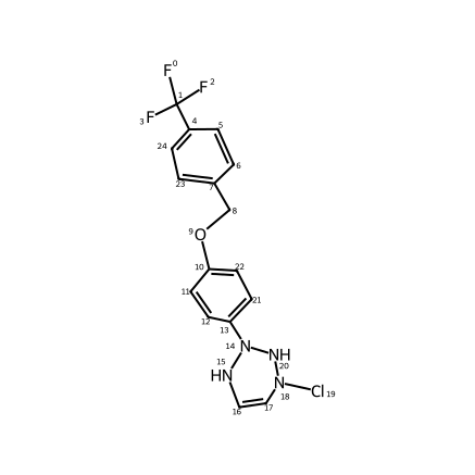 FC(F)(F)c1ccc(COc2ccc(-n3[nH]ccn(Cl)[nH]3)cc2)cc1